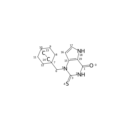 O=c1[nH]c(=S)n(CC23CCC(CC2)CC3)c2cc[nH]c12